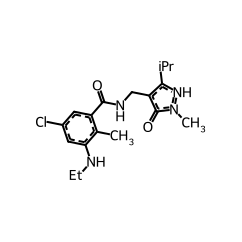 CCNc1cc(Cl)cc(C(=O)NCc2c(C(C)C)[nH]n(C)c2=O)c1C